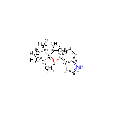 CC(C)[Si](Oc1cccc2[nH]ccc12)(C(C)C)C(C)C